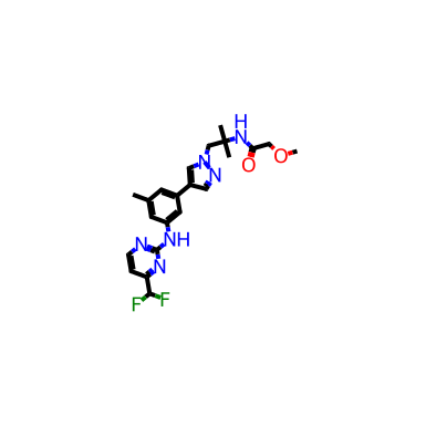 COCC(=O)NC(C)(C)Cn1cc(-c2cc(C)cc(Nc3nccc(C(F)F)n3)c2)cn1